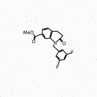 COC(=O)c1ccc2c(c1)N(Cc1cc(F)cc(F)c1)C(=O)CC2